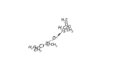 CCOC(=O)C(C)(C)SCC#CCOCCc1nc(-c2ccc(N(C)C)cc2)oc1C